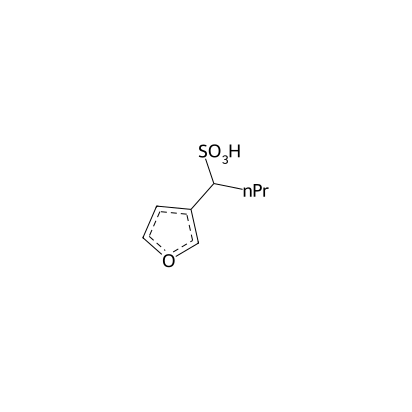 CCCC(c1ccoc1)S(=O)(=O)O